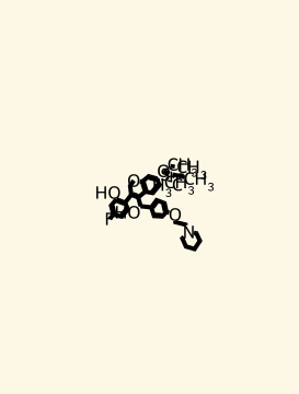 CC(C)(C)[Si](C)(C)Oc1ccc2c(c1)OCC(c1ccc(F)cc1O)=C2C(O)c1ccc(OCCN2CCCCC2)cc1